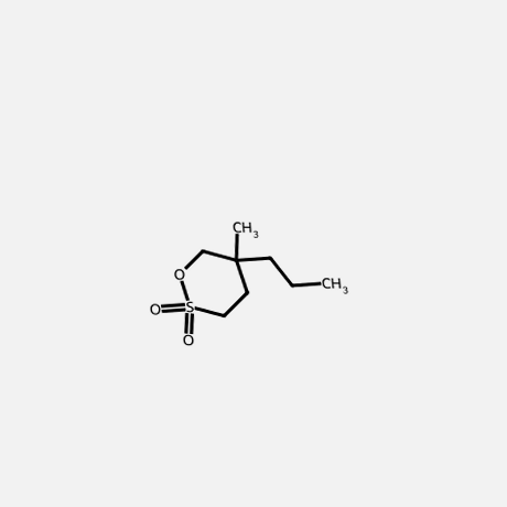 CCCC1(C)CCS(=O)(=O)OC1